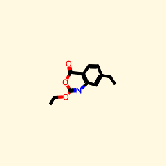 CCOc1nc2cc(CC)ccc2c(=O)o1